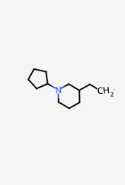 [CH2]CC1CCCN(C2CCCC2)C1